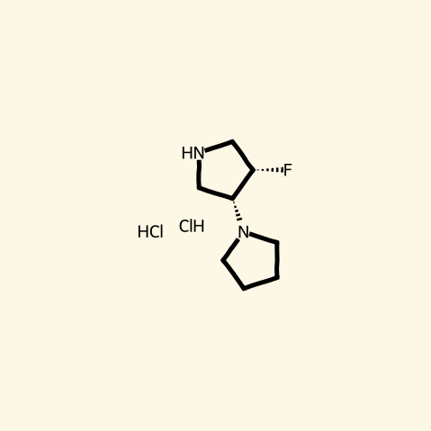 Cl.Cl.F[C@H]1CNC[C@H]1N1CCCC1